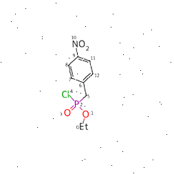 CCOP(=O)(Cl)Cc1ccc([N+](=O)[O-])cc1